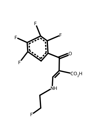 O=C(O)C(=CNCCF)C(=O)c1cc(F)c(F)c(F)c1F